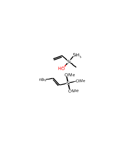 C=C[Si](C)(O)[SiH3].CCCC/C=C/[Si](OC)(OC)OC